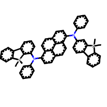 C[Si]1(C)c2ccccc2-c2ccc(N(c3ccccc3)c3ccc4ccc5c(N(c6ccccc6)c6cccc7c6[Si](C)(C)c6ccccc6-7)ccc6ccc3c4c65)cc21